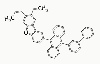 C=Cc1cc2c(cc1/C=C\C)oc1ccc(-c3c4ccccc4c(-c4cccc(-c5ccccc5)c4)c4ccccc34)cc12